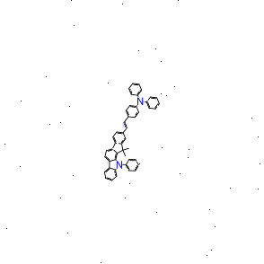 CC1(C)c2cc(/C=C/c3ccc(N(c4ccccc4)c4ccccc4)cc3)ccc2-c2ccc3c4ccccc4n(-c4ccccc4)c3c21